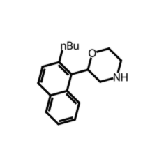 CCCCc1ccc2ccccc2c1C1CNCCO1